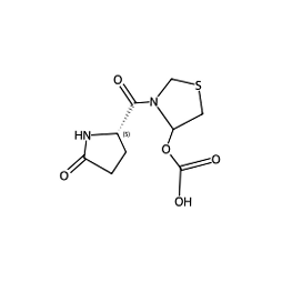 O=C1CC[C@@H](C(=O)N2CSCC2OC(=O)O)N1